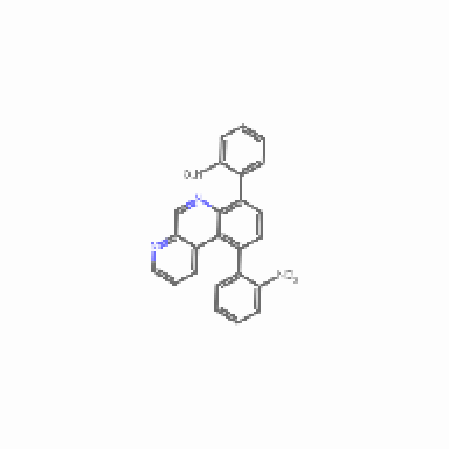 O=[N+]([O-])c1ccccc1-c1ccc(-c2ccccc2[N+](=O)[O-])c2c1ncc1ncccc12